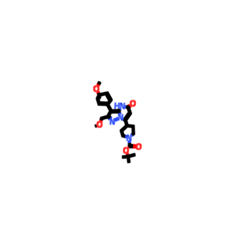 COCc1nn2c(C3CCN(C(=O)OC(C)(C)C)CC3)cc(=O)[nH]c2c1-c1ccc(OC)cc1